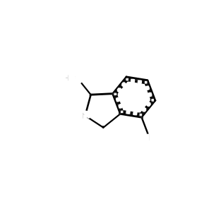 O=CC1NCc2c(I)cccc21